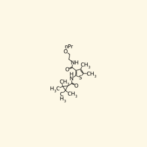 CCCOCCNC(=O)c1c(NC(=O)C2C(C)(C)C2(C)C)sc(C)c1C